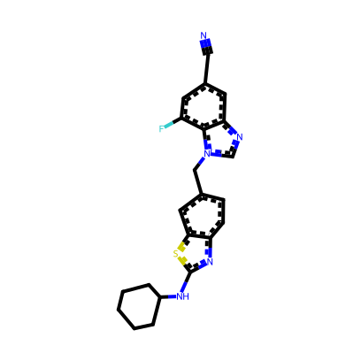 N#Cc1cc(F)c2c(c1)ncn2Cc1ccc2nc(NC3CCCCC3)sc2c1